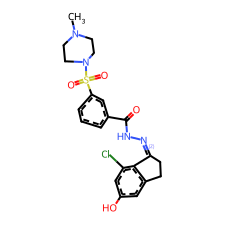 CN1CCN(S(=O)(=O)c2cccc(C(=O)N/N=C3/CCc4cc(O)cc(Cl)c43)c2)CC1